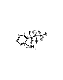 Nc1ccccc1C(F)(F)C(F)(F)C(F)(F)F